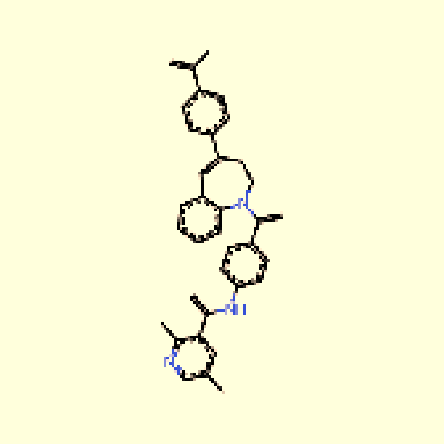 C=C(C)c1ccc(C2=Cc3ccccc3N(C(=C)c3ccc(NC(=C)c4cc(C)cnc4C)cc3)CC2)cc1